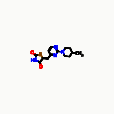 CC1CCN(c2nccc(/C=C3\SC(=O)NC3=O)n2)CC1